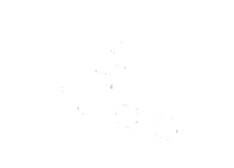 CNNC(=O)C(=O)N[C@H](Cc1ccc(-c2cccc(Cl)c2)cc1)C[C@@H](O)C(=O)O